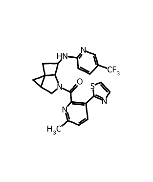 Cc1ccc(-c2nccs2)c(C(=O)N2CC3CC34CC(Nc3ccc(C(F)(F)F)cn3)C24)n1